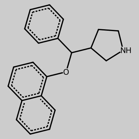 c1ccc(C(Oc2cccc3ccccc23)C2CCNC2)cc1